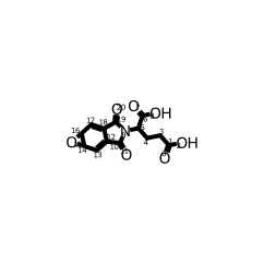 O=C(O)CCC(C(=O)O)N1C(=O)C2=CC3OC3C=C2C1=O